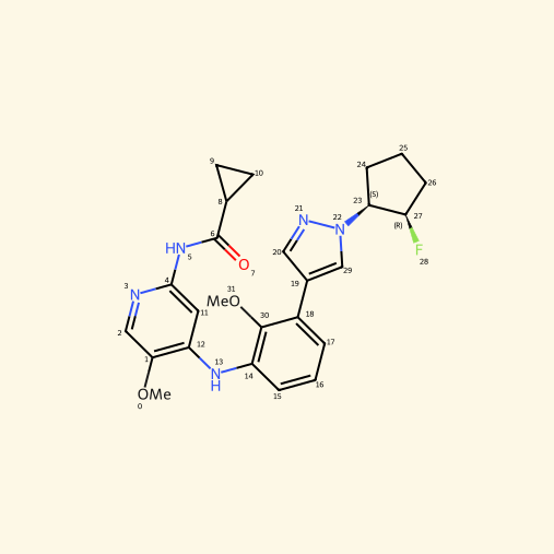 COc1cnc(NC(=O)C2CC2)cc1Nc1cccc(-c2cnn([C@H]3CCC[C@H]3F)c2)c1OC